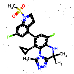 Cc1nnc2n1-c1c(c(F)cc(-c3cc(F)cc4c3ccn4S(C)(=O)=O)c1C1CC1)NC2(C)C